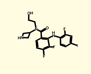 O=C(c1ccc(F)c(F)c1Nc1ccc(I)cc1F)N(CCO)C1CNC1